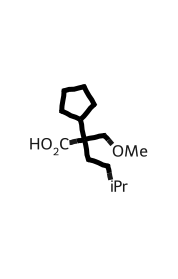 COCC(CCC(C)C)(C(=O)O)C1CCCC1